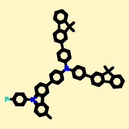 Cc1ccc2c(c1)c1cc(-c3ccc(N(c4ccc(-c5ccc6c(c5)C(C)(C)c5ccccc5-6)cc4)c4ccc(-c5ccc6c(c5)C(C)(C)c5ccccc5-6)cc4)cc3)ccc1n2-c1ccc(F)cc1